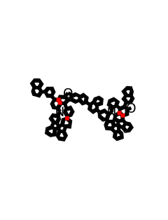 c1cc(-c2ccc(N(c3ccc4c(c3)C3(c5ccccc5-c5ccccc53)c3ccccc3-4)c3ccccc3-c3cccc4oc5cc6ccc(-c7ccc(-c8cccc(N(c9ccc%10c(c9)C9(c%11ccccc%11-c%11ccccc%119)c9ccccc9-%10)c9ccccc9-c9cccc%10oc%11cc%12ccccc%12cc%11c9%10)c8)c8ccccc78)cc6cc5c34)cc2)cc(-c2cccc3ccccc23)c1